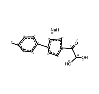 Cc1ccc(-c2ccc(C(=O)C(O)O)cc2)cc1.[NaH]